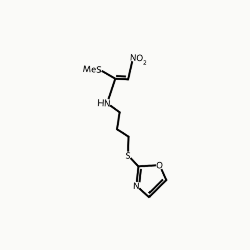 CSC(=C[N+](=O)[O-])NCCCSc1ncco1